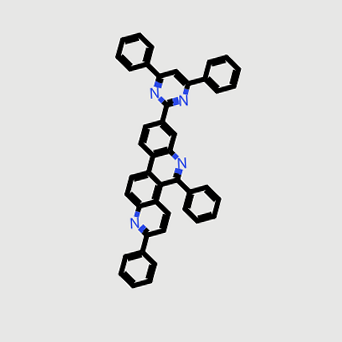 c1ccc(-c2cc(-c3ccccc3)nc(-c3ccc4c(c3)nc(-c3ccccc3)c3c5ccc(-c6ccccc6)nc5ccc43)n2)cc1